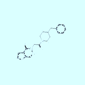 O=C(Cn1ncc2sccc2c1=O)N1CCC(Cc2ccccc2)CC1